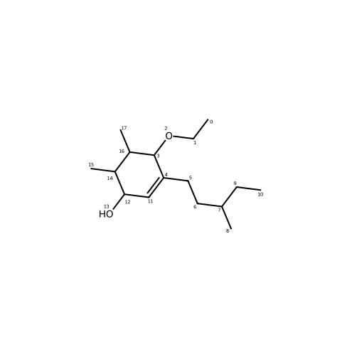 CCOC1C(CCC(C)CC)=CC(O)C(C)C1C